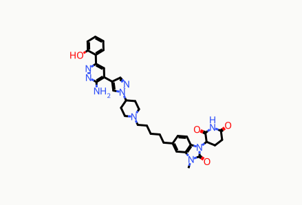 Cn1c(=O)n(C2CCC(=O)NC2=O)c2ccc(CCCCCN3CCC(n4cc(-c5cc(-c6ccccc6O)nnc5N)cn4)CC3)cc21